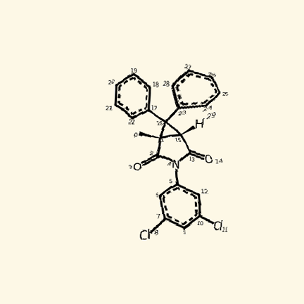 C[C@]12C(=O)N(c3cc(Cl)cc(Cl)c3)C(=O)[C@H]1C2(c1ccccc1)c1ccccc1